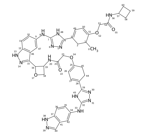 CC1CC(c2nnc(Nc3ccc4[nH]nc(C5OCC5NC(=O)COC5=CC=C(c6nnc(Nc7ccc8[nH]ncc8c7)[nH]6)CC5)c4c3)[nH]2)=CC=C1OCC(=O)NC1CCC1